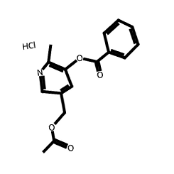 CC(=O)OCc1cnc(C)c(OC(=O)c2ccccc2)c1.Cl